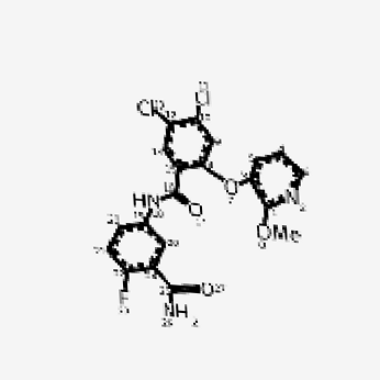 COc1ncccc1Oc1cc(Cl)c(Cl)cc1C(=O)Nc1ccc(F)c(C(N)=O)c1